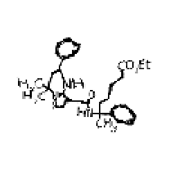 CCOC(=O)CCCCC(C)(NC(=O)c1cnn2c1NC(c1ccccc1)CC2(C)C)c1ccccc1